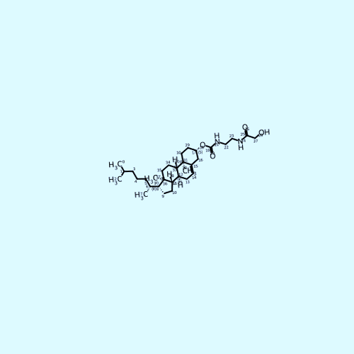 CC(C)CCC[C@@H](C)[C@H]1CC[C@H]2[C@@H]3CC=C4C[C@@H](OC(=O)NCCNC(=O)CO)CC[C@]4(C)[C@H]3CC[C@]12C